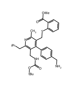 COC(=O)c1ccccc1SCc1c(C)nc(CC(C)C)c(CNC(=O)OC(C)(C)C)c1-c1ccc(CN)cc1